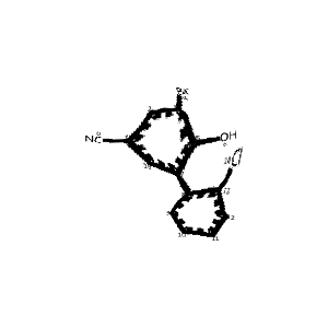 N#Cc1cc(Br)c(O)c(-c2ccccc2Cl)c1